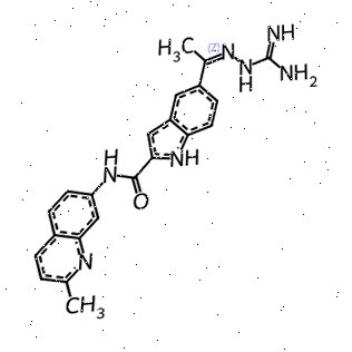 C/C(=N/NC(=N)N)c1ccc2[nH]c(C(=O)Nc3ccc4ccc(C)nc4c3)cc2c1